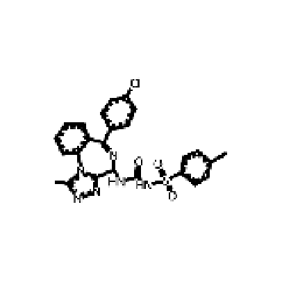 Cc1ccc(S(=O)(=O)NC(=O)NC2N=C(c3ccc(Cl)cc3)c3ccccc3-n3c(C)nnc32)cc1